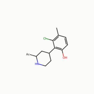 CC(=O)C1CC(c2c(O)ccc(C)c2Cl)CCN1